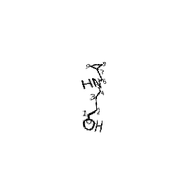 OCCCCNCC1CC1